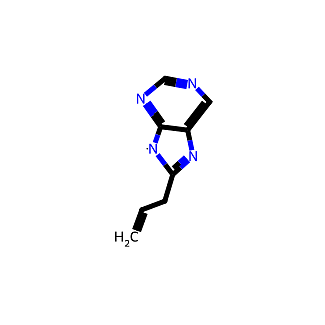 C=CCC1=Nc2cncnc2[N]1